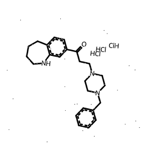 Cl.Cl.Cl.O=C(CCN1CCN(Cc2ccccc2)CC1)c1ccc2c(c1)NCCCC2